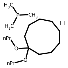 CCCOC1(OCCC)CCCCCCCC1.CP(C)C.I